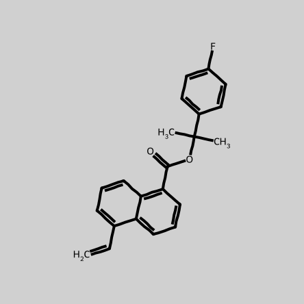 C=Cc1cccc2c(C(=O)OC(C)(C)c3ccc(F)cc3)cccc12